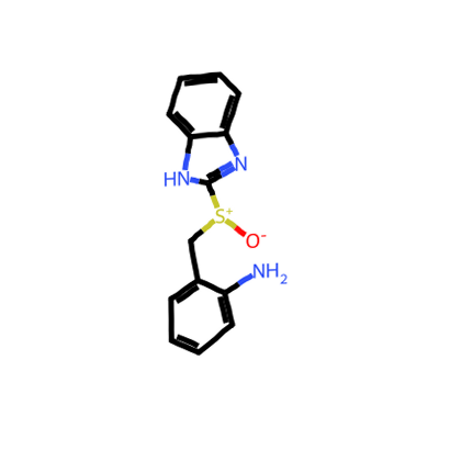 Nc1ccccc1C[S+]([O-])c1nc2ccccc2[nH]1